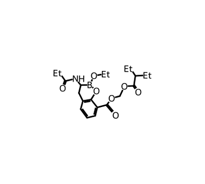 CCOB1Oc2c(cccc2C(=O)OCOC(=O)C(CC)CC)CC1NC(=O)CC